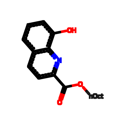 CCCCCCCCOC(=O)c1ccc2cccc(O)c2n1